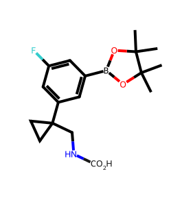 CC1(C)OB(c2cc(F)cc(C3(CNC(=O)O)CC3)c2)OC1(C)C